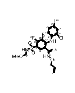 C=CCONC(=O)c1cc(S(=O)(=O)NCOC)c(F)c(F)c1Nc1ccc(I)cc1Cl